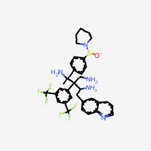 CC(N)(c1ccc([S+]([O-])N2CCCCC2)cc1)C(CN)(c1cc(C(F)(F)F)cc(C(F)(F)F)c1)C(N)Cc1ccc2ncccc2c1